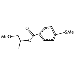 COCC(C)OC(=O)c1ccc(SC)cc1